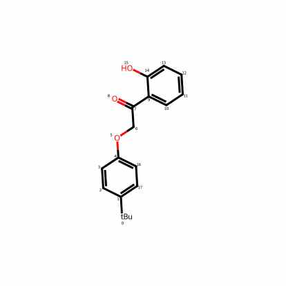 CC(C)(C)c1ccc(OCC(=O)c2ccccc2O)cc1